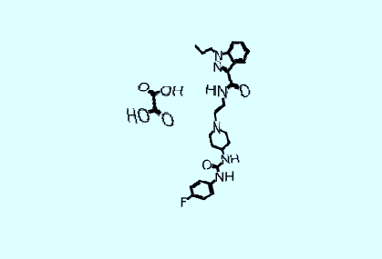 CCCn1nc(C(=O)NCCN2CCC(NC(=O)Nc3ccc(F)cc3)CC2)c2ccccc21.O=C(O)C(=O)O